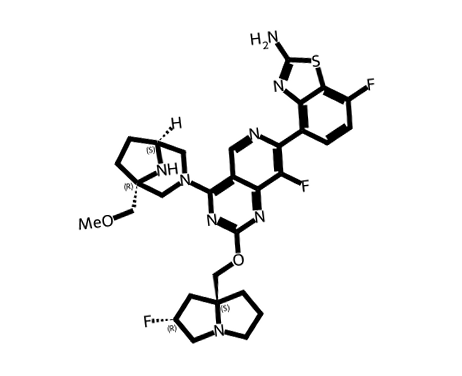 COC[C@@]12CC[C@@H](CN(c3nc(OC[C@@]45CCCN4C[C@H](F)C5)nc4c(F)c(-c5ccc(F)c6sc(N)nc56)ncc34)C1)N2